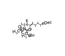 CCCCCCCCCCCCCC=CC(F)[C@@H]1COC(C)(C)N1C(=O)OC(C)(C)C